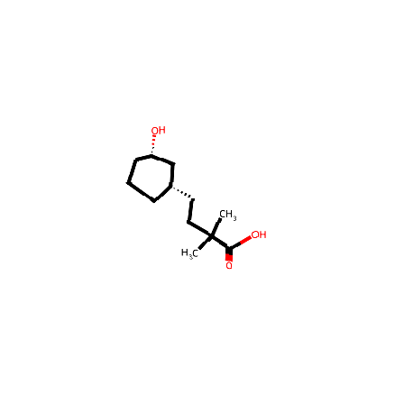 CC(C)(CC[C@@H]1CCC[C@H](O)C1)C(=O)O